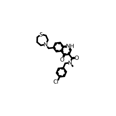 CN(Cc1ccc(Cl)cc1)C(=O)c1c[nH]c2ccc(CN3CCCSCC3)cc2c1=O